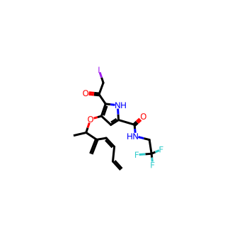 C=C/C=C\C(=C)C(C)Oc1cc(C(=O)NCC(F)(F)F)[nH]c1C(=O)CI